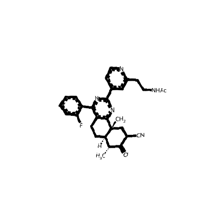 CC(=O)NCCc1cc(-c2nc(-c3ccccc3F)c3c(n2)[C@]2(C)CC(C#N)C(=O)[C@H](C)[C@H]2CC3)ccn1